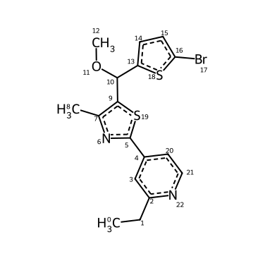 CCc1cc(-c2nc(C)c(C(OC)c3ccc(Br)s3)s2)ccn1